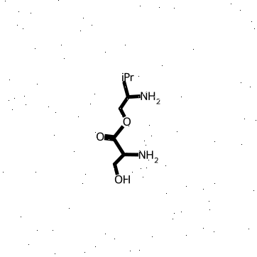 CC(C)C(N)COC(=O)C(N)CO